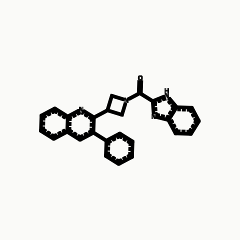 O=C(c1nc2ccccc2[nH]1)N1CC(c2nc3ccccc3cc2-c2ccccc2)C1